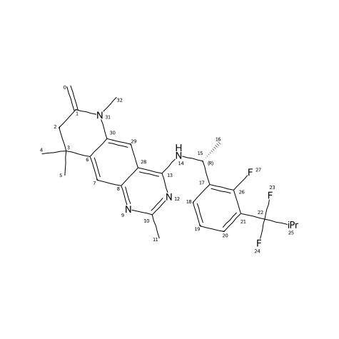 C=C1CC(C)(C)c2cc3nc(C)nc(N[C@H](C)c4cccc(C(F)(F)C(C)C)c4F)c3cc2N1C